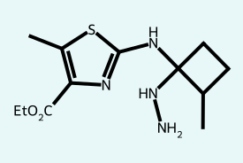 CCOC(=O)c1nc(NC2(NN)CCC2C)sc1C